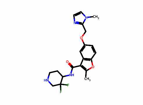 Cc1oc2ccc(OCc3nccn3C)cc2c1C(=O)NC1CCNCC1(F)F